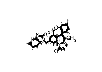 CCCc1nc2nc(F)ccc2n1Cc1ccc2c(c1)COc1cc(F)ccc1/C2=C(\C)c1noc(=O)[nH]1